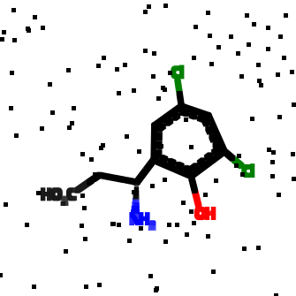 N[C@H](CC(=O)O)c1cc(Cl)cc(Cl)c1O